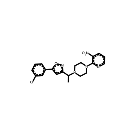 CC(c1cc(-c2cccc(Cl)c2)on1)N1CCN(c2ncccc2[N+](=O)[O-])CC1